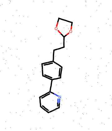 c1ccc(-c2ccc(CCC3OCCO3)cc2)nc1